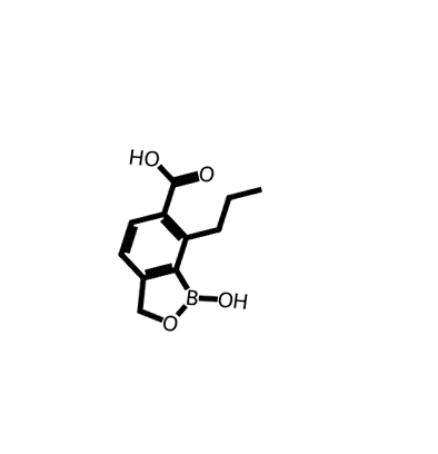 CCCc1c(C(=O)O)ccc2c1B(O)OC2